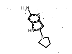 Nc1cc2[nH]c(N3CCCC3)cc2s1